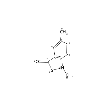 Cc1ccc2c(c1)c(=O)sn2C